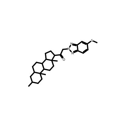 CSc1ccc2nn(CC(=O)C3CCC4C5CCC6CC(C)CCC6(C)C5CCC34C)nc2c1